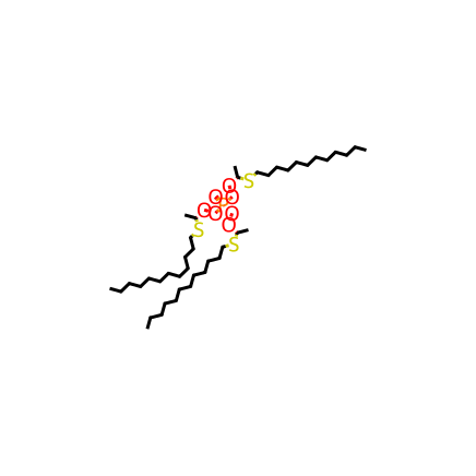 CCCCCCCCCCCCSC(C)OOP(=O)(OOC(C)SCCCCCCCCCCCC)OOC(C)SCCCCCCCCCCCC